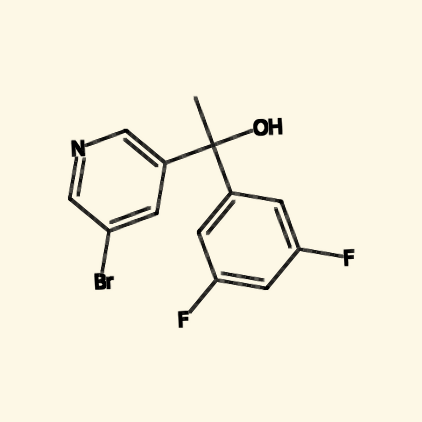 CC(O)(c1cc(F)cc(F)c1)c1cncc(Br)c1